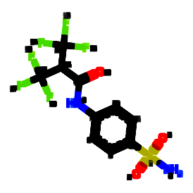 NS(=O)(=O)c1ccc(NC(=O)C(C(F)(F)F)C(F)(F)F)cc1